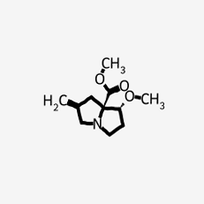 C=C1CN2CC[C@@H](OC)[C@@]2(C(=O)OC)C1